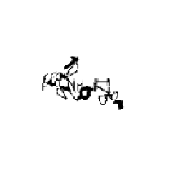 C=CCOC(=O)Nc1ccc(C[C@H](NC(=O)OC(C)(C)C)C(=O)OCC(F)(F)F)cc1